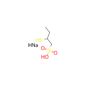 CCC(S)CS(=O)(=O)O.[NaH]